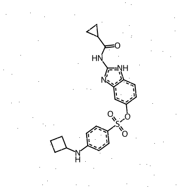 O=C(Nc1nc2cc(OS(=O)(=O)c3ccc(NC4CCC4)cc3)ccc2[nH]1)C1CC1